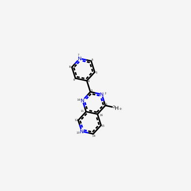 [2H]c1nc(-c2ccncc2)nc2cnccc12